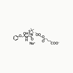 CC1(C)S[C@@H]2[C@H](NC(=O)COc3ccccc3)C(=O)N2[C@H]1COOCOC(=O)CCCC(=O)[O-].[Na+]